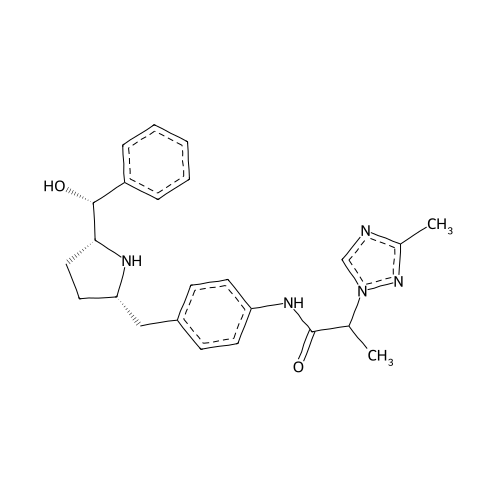 Cc1ncn(C(C)C(=O)Nc2ccc(C[C@@H]3CC[C@H]([C@H](O)c4ccccc4)N3)cc2)n1